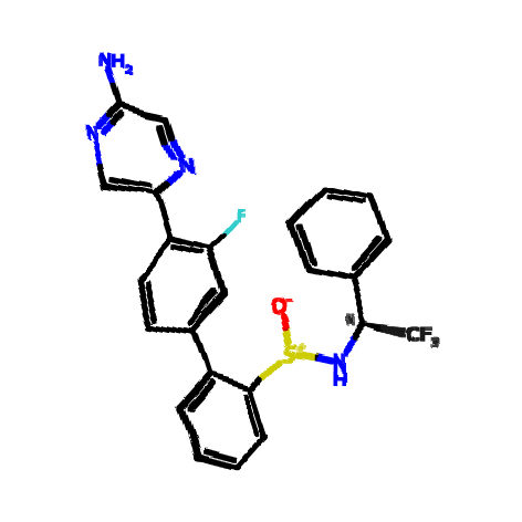 Nc1cnc(-c2ccc(-c3ccccc3[S+]([O-])N[C@@H](c3ccccc3)C(F)(F)F)cc2F)cn1